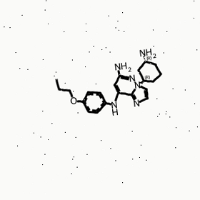 CCCOc1ccc(NC2=CC(N)=N[N+]3([C@@H]4CCC[C@@H](N)C4)C=CN=C23)cc1